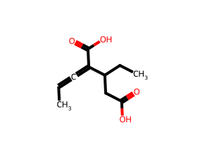 CC=C=C(C(=O)O)C(CC)CC(=O)O